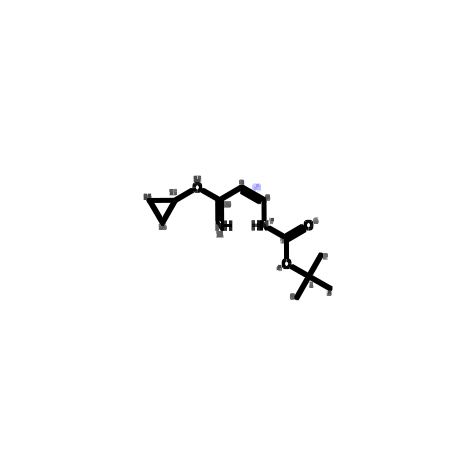 CC(C)(C)OC(=O)N/C=C\C(=N)OC1CC1